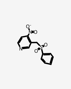 O=[N+]([O-])c1ccncc1CS(=O)(=O)c1ccccc1